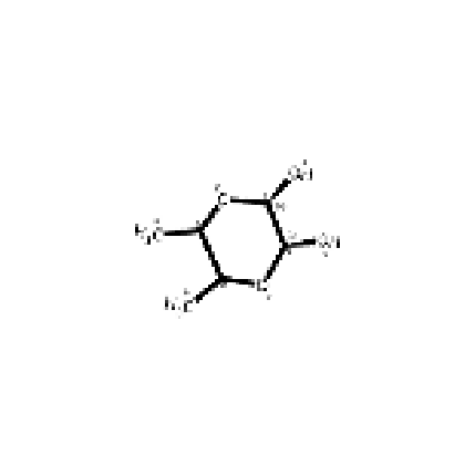 CC1O[C@@H](O)[C@@H](O)OC1C